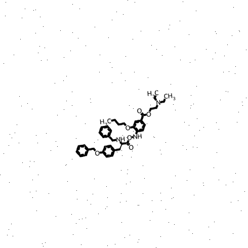 CCCCOc1cc(C(=O)OCCN(CC)CC)ccc1NOC(=O)[C@@H](Cc1ccc(OCc2ccccc2)cc1)NCc1ccccc1